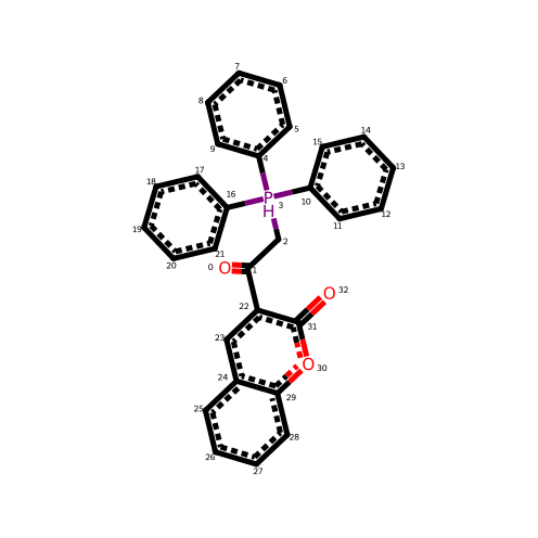 O=C(C[PH](c1ccccc1)(c1ccccc1)c1ccccc1)c1cc2ccccc2oc1=O